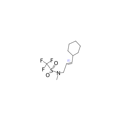 CN(C/C=C/C1CCCCC1)S(=O)(=O)C(F)(F)F